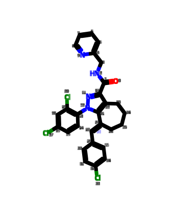 O=C(NCc1ccccn1)c1nn(-c2ccc(Cl)cc2Cl)c2c1CCCC/C2=C\c1ccc(Cl)cc1